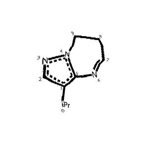 CC(C)c1cnn2c1N=CCC2